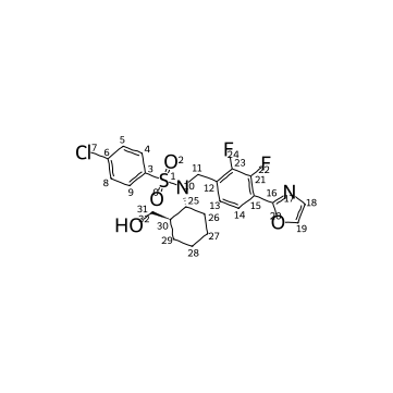 O=S(=O)(c1ccc(Cl)cc1)N(Cc1ccc(-c2ncco2)c(F)c1F)[C@@H]1CCCC[C@H]1CO